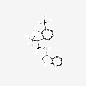 [2H]C([2H])([2H])C(C(=O)N[C@@H]1COc2ncccc21)c1cccc(C(F)(F)F)c1Cl